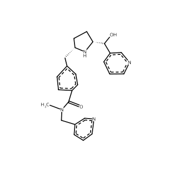 CN(Cc1cccnc1)C(=O)c1ccc(C[C@@H]2CC[C@H](C(O)c3cccnc3)N2)cc1